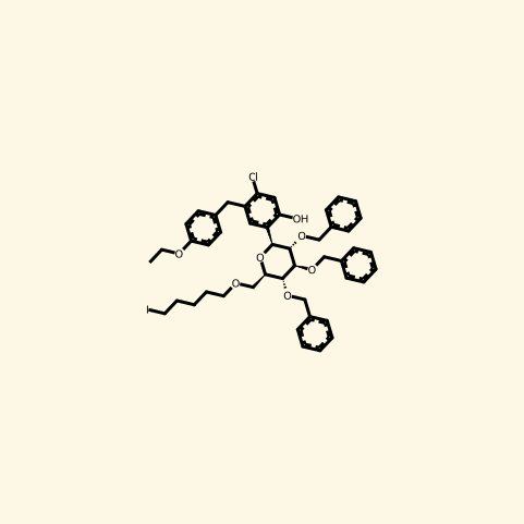 CCOc1ccc(Cc2cc([C@@H]3O[C@H](COCCCCCI)[C@@H](OCc4ccccc4)[C@H](OCc4ccccc4)[C@H]3OCc3ccccc3)c(O)cc2Cl)cc1